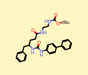 CC(C)(C)OC(=O)NCCNC(=O)CCC(Cc1ccccc1)NC(=O)Nc1ccc(-c2ccccc2)cc1